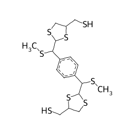 CSC(c1ccc(C(SC)C2SCC(CS)S2)cc1)C1SCC(CS)S1